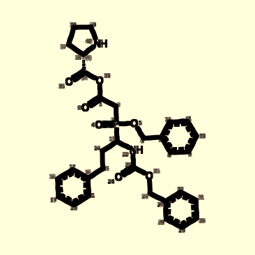 O=C(CP(=O)(OCc1ccccc1)C(CCc1ccccc1)NC(=O)OCc1ccccc1)OC(=O)[C@@H]1CCCN1